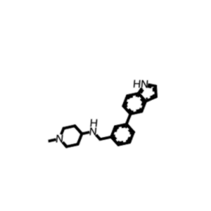 CN1CCC(NCc2cccc(-c3ccc4[nH]ccc4c3)c2)CC1